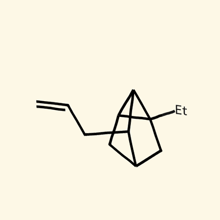 C=CCC1C2CC3C1C3(CC)C2